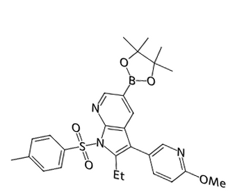 CCc1c(-c2ccc(OC)nc2)c2cc(B3OC(C)(C)C(C)(C)O3)cnc2n1S(=O)(=O)c1ccc(C)cc1